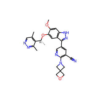 COc1cc2[nH]nc(-c3cnc(N4CC5(COC5)C4)c(C#N)c3)c2cc1O[C@H](C)c1c(C)cnnc1C